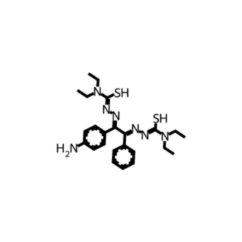 CCN(CC)/C(S)=N/N=C(/C(=N/N=C(\S)N(CC)CC)c1ccc(N)cc1)c1ccccc1